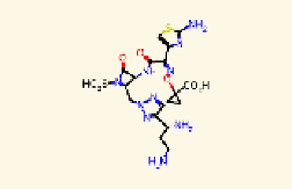 NCC[C@@H](N)c1cnn(C[C@@H]2[C@H](NC(=O)C(=NOC3(C(=O)O)CC3)c3csc(N)n3)C(=O)N2S(=O)(=O)O)n1